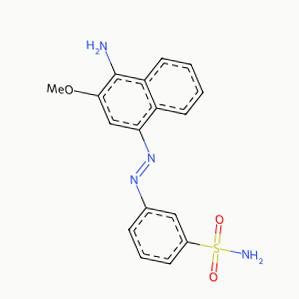 COc1cc(/N=N/c2cccc(S(N)(=O)=O)c2)c2ccccc2c1N